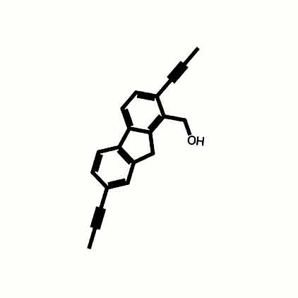 CC#Cc1ccc2c(c1)Cc1c-2ccc(C#CC)c1CO